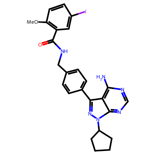 COc1ccc(I)cc1C(=O)NCc1ccc(-c2nn(C3CCCC3)c3ncnc(N)c23)cc1